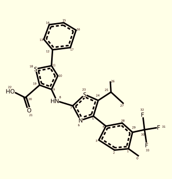 Cc1ccc(-c2nc(Nc3cc(-c4ccccc4)sc3C(=O)O)sc2C(C)C)cc1C(F)(F)F